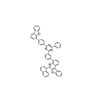 c1ccc(-c2nc(-c3ccc(-c4cccc5c4oc4ccccc45)cc3)nc(-c3cccc(-c4cccc5c4nc(-c4cccc6ccccc46)c4oc6ccccc6c45)c3)n2)cc1